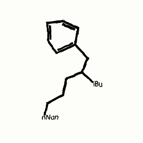 CCCCCCCCCCCC[C](Cc1ccccc1)C(C)CC